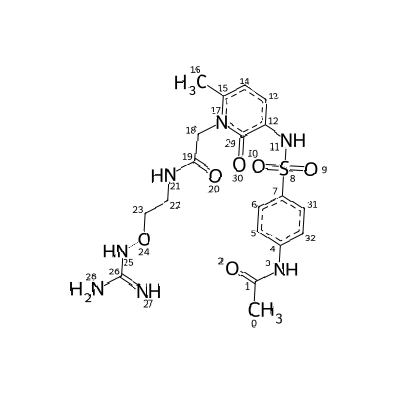 CC(=O)Nc1ccc(S(=O)(=O)Nc2ccc(C)n(CC(=O)NCCONC(=N)N)c2=O)cc1